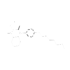 CCCCCCCCc1ccc(NC(=O)[C@H]([C@H](C)O)N(C)C2CCCCC2)cc1